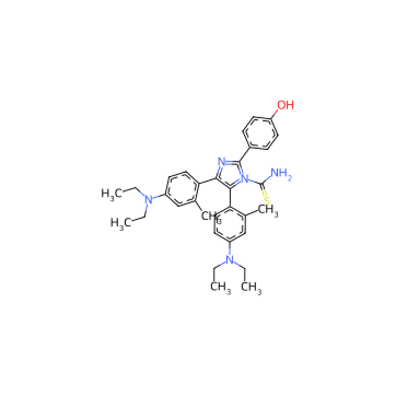 CCN(CC)c1ccc(-c2nc(-c3ccc(O)cc3)n(C(N)=S)c2-c2ccc(N(CC)CC)cc2C)c(C)c1